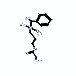 CCCCCCCCCCCC(=O)NCCC[N+](C)(C)C(CC)c1ccccc1